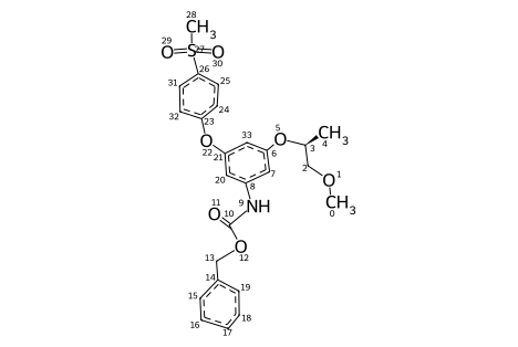 COC[C@H](C)Oc1cc(NC(=O)OCc2ccccc2)cc(Oc2ccc(S(C)(=O)=O)cc2)c1